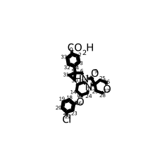 O=C(O)c1ccc(C2(CNC(=O)C3(N4CCC[C@@H](Oc5cccc(Cl)c5)C4)CCOCC3)CC2)cc1